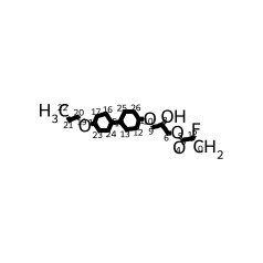 C=C(F)C(=O)OCC(O)COC1CCC(C2CCC(OCCC)CC2)CC1